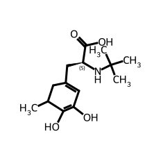 CC1CC(C[C@H](NC(C)(C)C)C(=O)O)=CC(O)=C1O